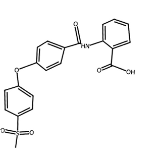 CS(=O)(=O)c1ccc(Oc2ccc(C(=O)Nc3ccccc3C(=O)O)cc2)cc1